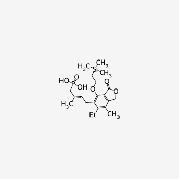 CCc1c(C)c2c(c(OCC[Si](C)(C)C)c1C/C=C(\C)CP(=O)(O)O)C(=O)OC2